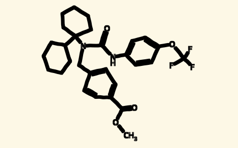 COC(=O)c1ccc(CN(C(=O)Nc2ccc(OC(F)(F)F)cc2)C2(C3CCCCC3)CCCCC2)cc1